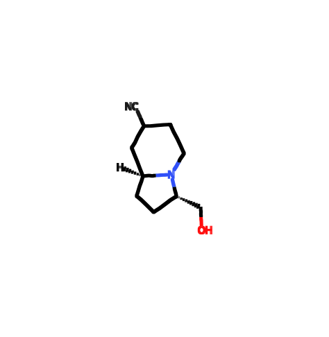 N#CC1CCN2[C@H](CO)CC[C@H]2C1